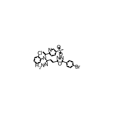 C=C(c1ccc(S(C)(=O)=O)cn1)N(C(/C=C/c1nnc(-c2ccc(Br)cc2)o1)=N\N)c1ccccc1Cl